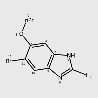 CCCOc1cc2[nH]c(I)nc2cc1Br